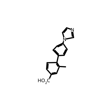 Cc1cc(C(=O)O)ccc1-c1ccc(-n2ccnc2)cc1